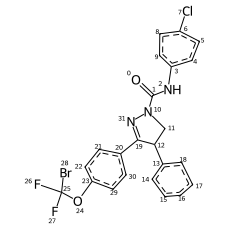 O=C(Nc1ccc(Cl)cc1)N1CC(c2ccccc2)C(c2ccc(OC(F)(F)Br)cc2)=N1